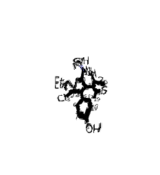 CCn1c(Cl)c(-c2ccc(O)cc2)c(-c2c(C)csc2C)c1/C(N)=N/O